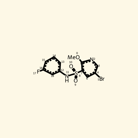 COc1ncc(Br)cc1S(=O)(=O)Nc1cccc(F)c1